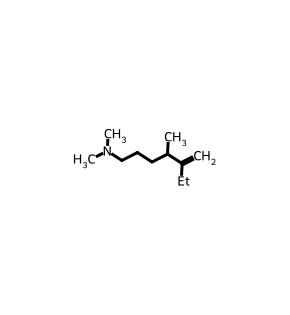 C=C(CC)C(C)CCCN(C)C